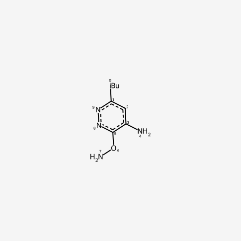 CCC(C)c1cc(N)c(ON)nn1